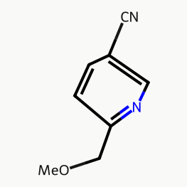 [CH2]OCc1ccc(C#N)cn1